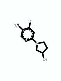 CCc1cc(N2CCC(C#N)C2)ncc1[N+](=O)[O-]